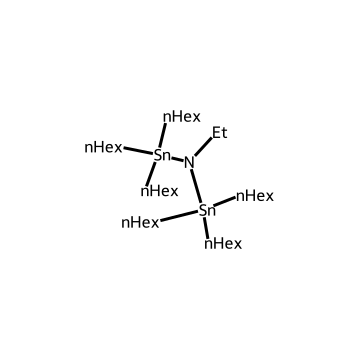 CCCCC[CH2][Sn]([CH2]CCCCC)([CH2]CCCCC)[N](CC)[Sn]([CH2]CCCCC)([CH2]CCCCC)[CH2]CCCCC